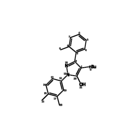 CCCCc1c(-c2ccccc2C)nn(-c2ccc(C)c(C)c2)c1O